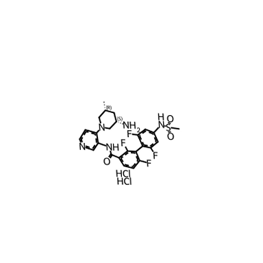 C[C@@H]1C[C@H](N)CN(c2ccncc2NC(=O)c2ccc(F)c(-c3c(F)cc(NS(C)(=O)=O)cc3F)c2F)C1.Cl.Cl